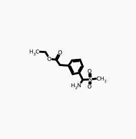 CCOC(=O)Cc1cccc(C(N)S(C)(=O)=O)c1